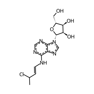 CC(Cl)/C=C/Nc1ncnc2c1ncn2[C@@H]1O[C@H](CO)[C@@H](O)[C@H]1O